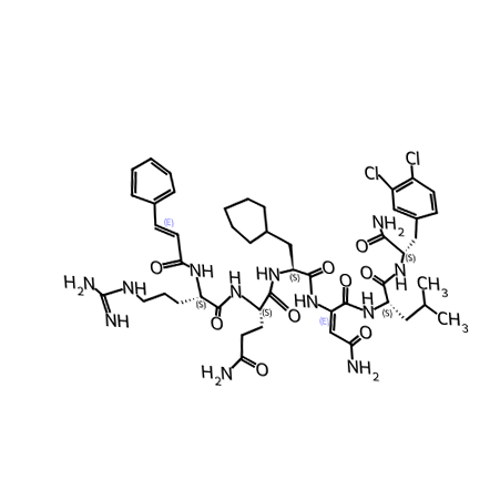 CC(C)C[C@H](NC(=O)/C(=C\C(N)=O)NC(=O)[C@H](CC1CCCCC1)NC(=O)[C@H](CCC(N)=O)NC(=O)[C@H](CCCNC(=N)N)NC(=O)/C=C/c1ccccc1)C(=O)N[C@@H](Cc1ccc(Cl)c(Cl)c1)C(N)=O